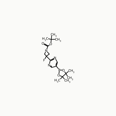 CC(C)(C)OC(=O)N1CC(F)(c2ncc(B3OC(C)(C)C(C)(C)O3)cn2)C1